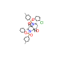 Cc1ccc(S(=O)(=O)N2C[C@H]3C(=O)C[C@@H](c4ccccc4Cl)N(S(=O)(=O)c4ccc(C)cc4)[C@H]3C[C@H]2c2ccccc2)cc1